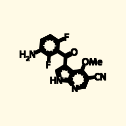 COc1c(C#N)cnc2[nH]cc(C(=O)c3c(F)ccc(N)c3F)c12